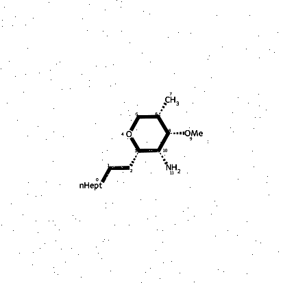 CCCCCCCCC[C@@H]1OC[C@H](C)[C@H](OC)[C@@H]1N